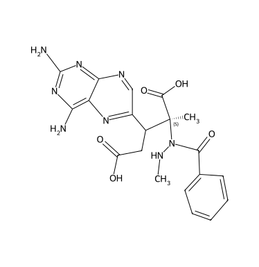 CNN(C(=O)c1ccccc1)[C@](C)(C(=O)O)C(CC(=O)O)c1cnc2nc(N)nc(N)c2n1